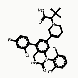 CC(C)(C)C(C(=O)O)N1CCC=C(c2cc(-c3ccc(F)cc3Cl)c3c(c2)N(c2c(Cl)cccc2Cl)C(=O)NC3)C1